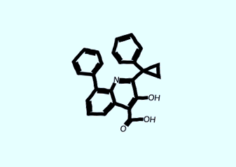 O=C(O)c1c(O)c(C2(c3ccccc3)CC2)nc2c(-c3ccccc3)cccc12